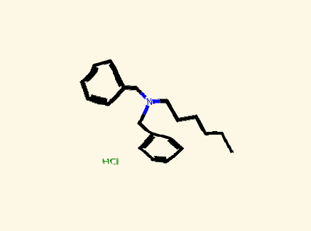 CCCCCCN(Cc1ccccc1)Cc1ccccc1.Cl